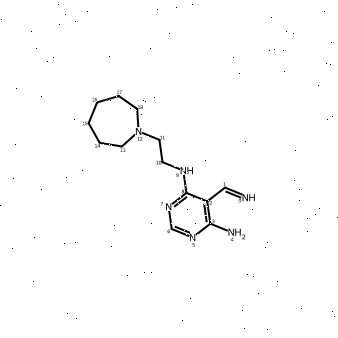 N=Cc1c(N)ncnc1NCCN1CCCCCC1